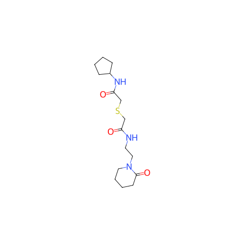 O=C(CSCC(=O)NC1CCCC1)NCCN1CCCCC1=O